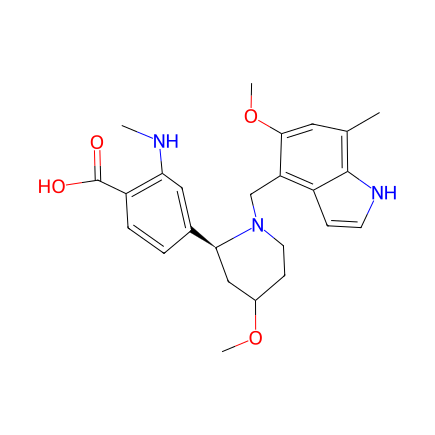 CNc1cc([C@@H]2CC(OC)CCN2Cc2c(OC)cc(C)c3[nH]ccc23)ccc1C(=O)O